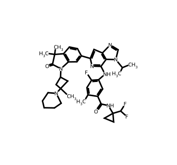 Cc1cc(F)c(Nc2nc(-c3ccc4c(c3)N(C3CC(C)(N5CCCCC5)C3)C(=O)C4(C)C)cc3ncn(C(C)C)c23)cc1C(=O)NC1(C(F)F)CC1